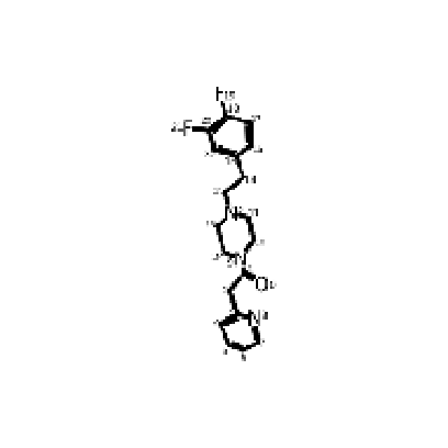 O=C(Cc1ccccn1)N1CCN(CCc2ccc(F)c(F)c2)CC1